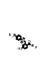 NC(=O)c1ccc(O)cc1CS(=O)(=O)c1ccc(N)cc1